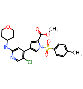 COC(=O)c1cc(-c2cc(NC3CCOCC3)ncc2Cl)cn1S(=O)(=O)c1ccc(C)cc1